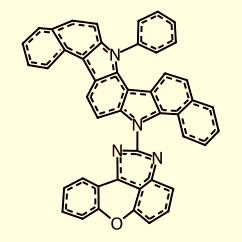 c1ccc(-n2c3ccc4ccccc4c3c3ccc4c(c5ccc6ccccc6c5n4-c4nc5c6c(cccc6n4)Oc4ccccc4-5)c32)cc1